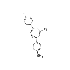 Bc1ccc(C2=NC=C(c3ccc(F)cc3)CC(CC)=C2)cc1